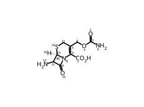 NC(=O)OCC1=C(C(=O)O)N2C(=O)C(N)[C@H]2SC1